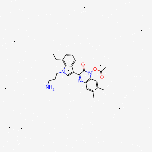 CCc1cccc2c(-c3nc4cc(C)c(C)cc4n(OC(C)=O)c3=O)cn(CCCN)c12